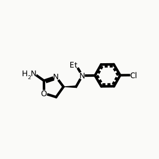 CCN(C[C@H]1COC(N)=N1)c1ccc(Cl)cc1